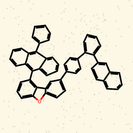 c1ccc(-c2c3ccccc3c(-c3cccc4oc5ccc(-c6ccc(-c7ccccc7-c7ccc8ccccc8c7)cc6)cc5c34)c3ccccc23)cc1